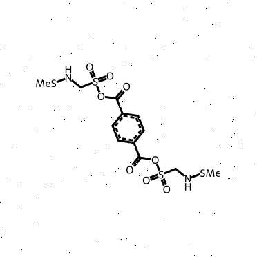 CSNCS(=O)(=O)OC(=O)c1ccc(C(=O)OS(=O)(=O)CNSC)cc1